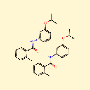 Cc1ccccc1C(=O)Nc1cccc(OC(C)C)c1.Cc1ccccc1C(=O)Nc1cccc(OC(C)C)c1